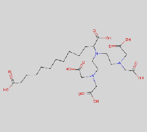 O=C(O)CCCCCCCCCCC(C(=O)O)N(CCN(CC(=O)O)CC(=O)O)CCN(CC(=O)O)CC(=O)O